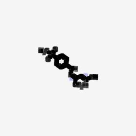 CCOC(=O)C(/C=N/O)=N/Nc1ccc(S(C)(=O)=O)cc1